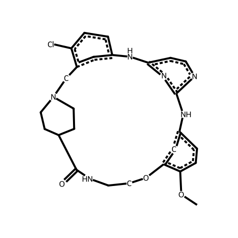 COc1ccc2cc1OCCNC(=O)C1CCN(CC1)Cc1cc(ccc1Cl)Nc1ccnc(n1)N2